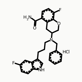 Cl.NC(=O)c1ccc(F)c2c1CC(N(CCCc1c[nH]c3ccc(F)cc13)Cc1ccccc1)CO2